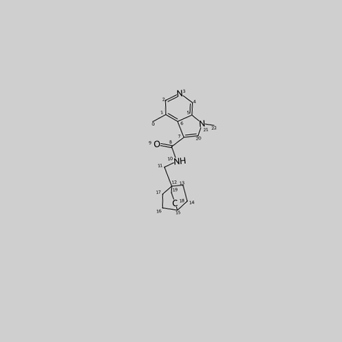 Cc1cncc2c1c(C(=O)NCC13CCC(CC1)CC3)cn2C